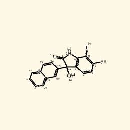 O=C1Nc2c(ccc(F)c2F)C1(O)c1ccc2ccccc2c1